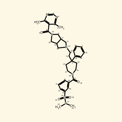 Cc1ncnc(C)c1C(=O)N1CC2CN(CCC3(c4ccccc4)CCN(C(=O)c4cccc(S(=O)(=O)N(C)C)c4)CC3)CC2C1